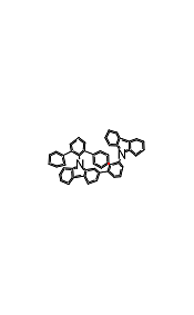 c1ccc(-c2cccc(-c3ccccc3)c2-n2c3ccccc3c3ccc(-c4cccc(-n5c6ccccc6c6ccccc65)c4)cc32)cc1